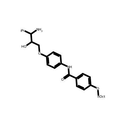 CCCCCCCCOc1ccc(C(=O)Nc2ccc(OCC(O)C(N)C(C)C)cc2)cc1